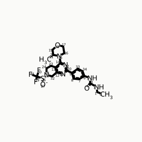 CCNC(=O)Nc1ccc(-c2nc3c(c(N4CCOC[C@@H]4C)n2)CCN([S+]([O-])C(F)(F)F)C3)cc1